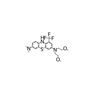 COCCN(CCOC)c1cc2c(c(C(F)(F)F)c1)Nc1ccc(N(C)C)cc1S2